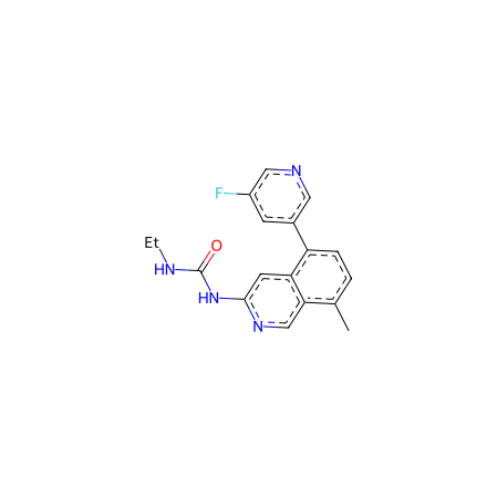 CCNC(=O)Nc1cc2c(-c3cncc(F)c3)ccc(C)c2cn1